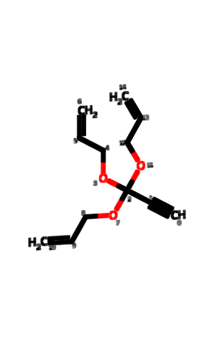 C#CC(OCC=C)(OCC=C)OCC=C